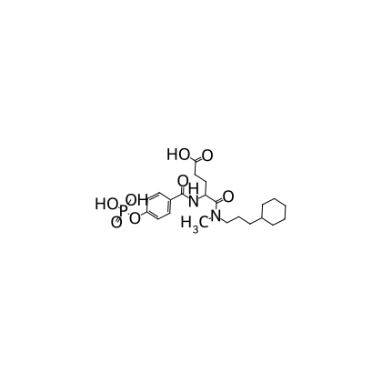 CN(CCCC1CCCCC1)C(=O)C(CCC(=O)O)NC(=O)c1ccc(OP(=O)(O)O)cc1